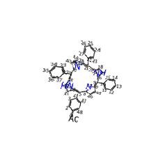 CC(=O)c1ccc(-c2c3nc(c(-c4ccccc4)c4ccc([nH]4)c(-c4ccccc4)c4nc(c(-c5ccccc5)c5[nH]c2CC5)C=C4)C=C3)cc1